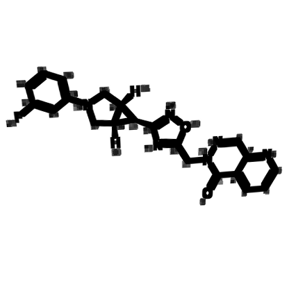 O=c1c2cccnc2cnn1Cc1nc([C@H]2[C@@H]3CN(c4cccc(F)c4)C[C@@H]32)no1